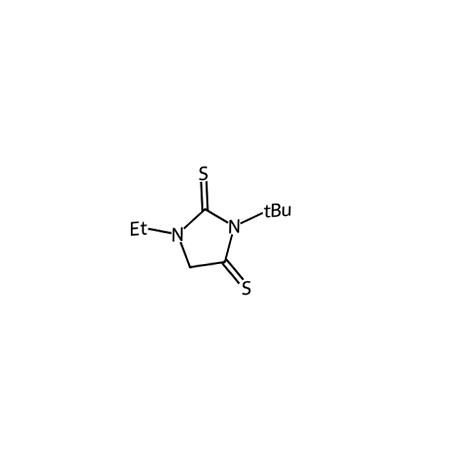 CCN1CC(=S)N(C(C)(C)C)C1=S